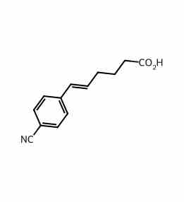 N#Cc1ccc(C=CCCCC(=O)O)cc1